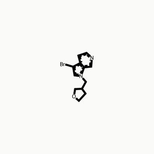 Brc1cn(CC2CCOC2)c2cnccc12